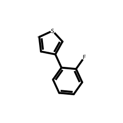 Fc1ccccc1-c1c[c]sc1